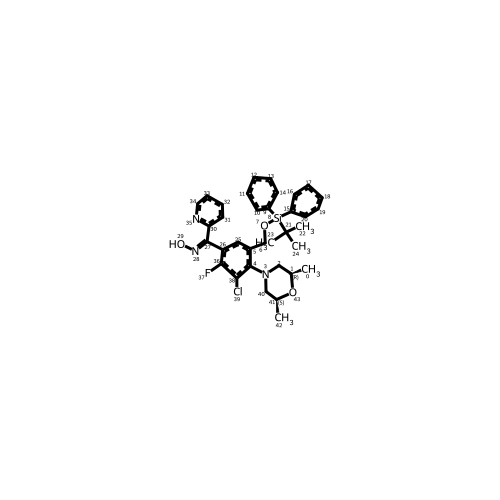 C[C@@H]1CN(c2c(CO[Si](c3ccccc3)(c3ccccc3)C(C)(C)C)cc(C(=NO)c3ccccn3)c(F)c2Cl)C[C@H](C)O1